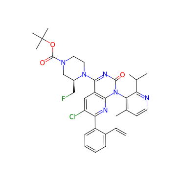 C=Cc1ccccc1-c1nc2c(cc1Cl)c(N1CCN(C(=O)OC(C)(C)C)C[C@@H]1CF)nc(=O)n2-c1c(C)ccnc1C(C)C